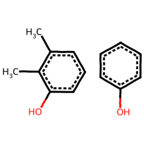 Cc1cccc(O)c1C.Oc1ccccc1